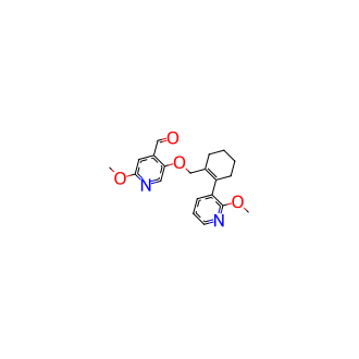 COc1cc(C=O)c(OCC2=C(c3cccnc3OC)CCCC2)cn1